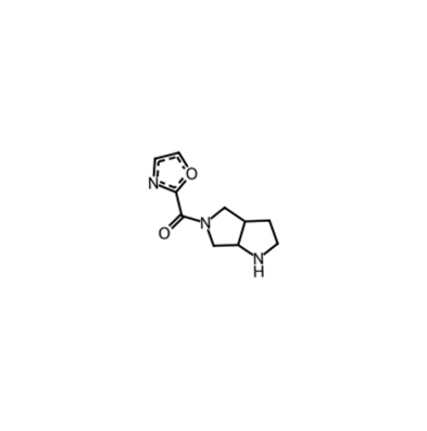 O=C(c1ncco1)N1CC2CCNC2C1